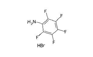 Br.Nc1c(F)c(F)c(F)c(F)c1F